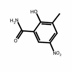 Cc1cc([N+](=O)[O-])cc(C(N)=O)c1O